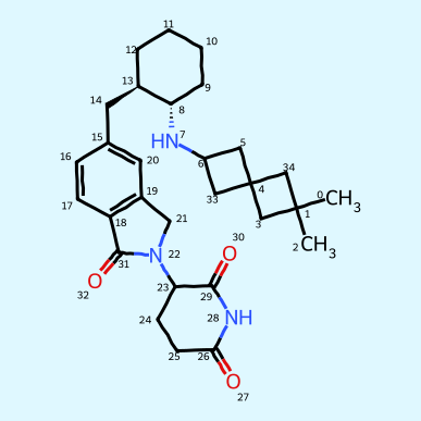 CC1(C)CC2(CC(N[C@H]3CCCC[C@@H]3Cc3ccc4c(c3)CN(C3CCC(=O)NC3=O)C4=O)C2)C1